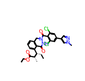 CCOC(=O)[C@@H](C)[C@@H](CC)c1cccc2c1C(=O)NN(C(=O)c1c(Cl)cc(-c3cnn(C)c3)cc1Cl)C2